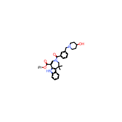 CC(C)OC(=O)C1=CN(C(=O)c2cccc(CN3CCC(O)CC3)c2)CC(C)(C)c2c1[nH]c1ccccc21